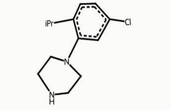 CC(C)c1ccc(Cl)cc1N1CCNCC1